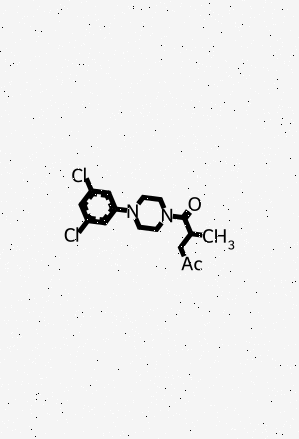 CC(=O)CC(C)C(=O)N1CCN(c2cc(Cl)cc(Cl)c2)CC1